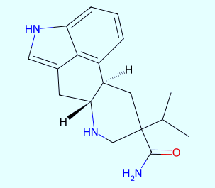 CC(C)C1(C(N)=O)CN[C@@H]2Cc3c[nH]c4cccc(c34)[C@H]2C1